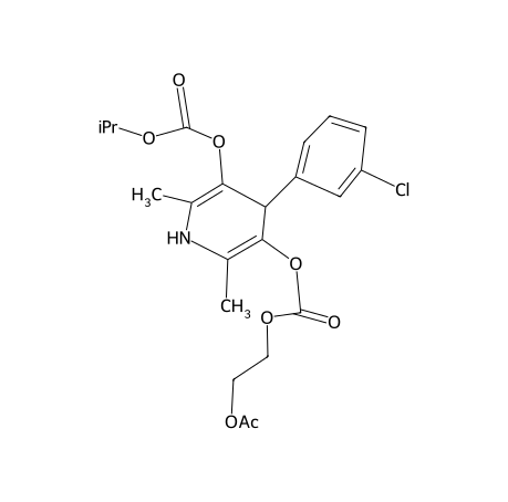 CC(=O)OCCOC(=O)OC1=C(C)NC(C)=C(OC(=O)OC(C)C)C1c1cccc(Cl)c1